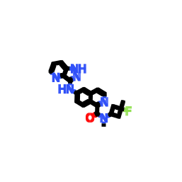 CN(C(=O)c1nccc2cc(Nc3n[nH]c4cccnc34)ccc12)C1CC(C)(F)C1